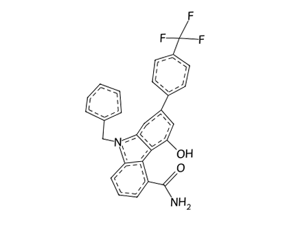 NC(=O)c1cccc2c1c1c(O)cc(-c3ccc(C(F)(F)F)cc3)cc1n2Cc1ccccc1